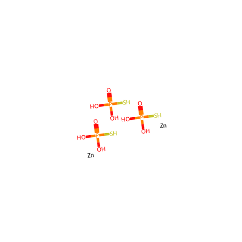 O=P(O)(O)S.O=P(O)(O)S.O=P(O)(O)S.[Zn].[Zn]